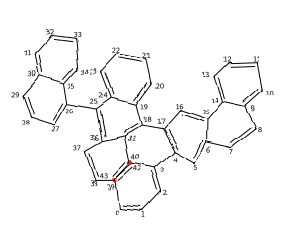 c1ccc(-c2cc3ccc4ccccc4c3cc2-c2c3ccccc3c(-c3cccc4ccccc34)c3ccccc23)cc1